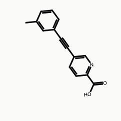 Cc1cccc(C#Cc2ccc(C(=O)O)nc2)c1